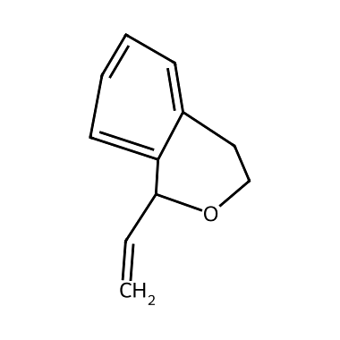 C=CC1OCCc2ccccc21